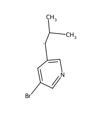 CC(C)[CH]c1cncc(Br)c1